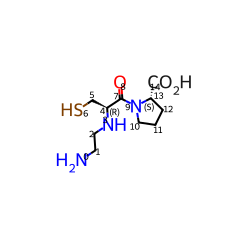 NCCN[C@@H](CS)C(=O)N1CCC[C@H]1C(=O)O